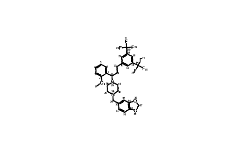 COc1ccccc1C([CH]Cc1cc(C(F)(F)F)cc(C(F)(F)F)c1)N1CCN(Cc2ccc3c(c2)OCO3)CC1